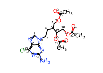 CC(=O)OCC(CCn1cnc2c(Cl)nc(N)nc21)C(COC(C)=O)OC(C)=O